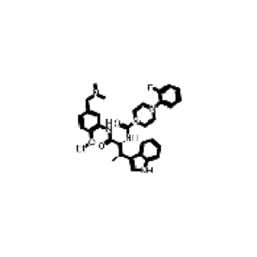 CCOc1ccc(CN(C)C)cc1NC(=O)[C@H](NC(=O)N1CCN(c2ccccc2F)CC1)[C@H](C)c1c[nH]c2ccccc12